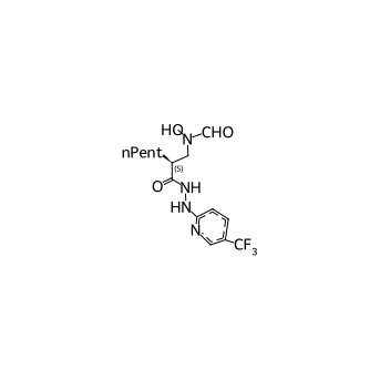 CCCCC[C@@H](CN(O)C=O)C(=O)NNc1ccc(C(F)(F)F)cn1